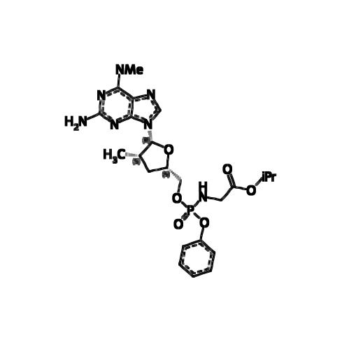 CNc1nc(N)nc2c1ncn2[C@@H]1O[C@H](COP(=O)(NCC(=O)OC(C)C)Oc2ccccc2)C[C@@H]1C